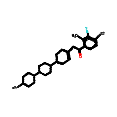 CCCC1CCC(C2CCC(C3CC=C(CC(=O)c4ccc(CC)c(F)c4C)CC3)CC2)CC1